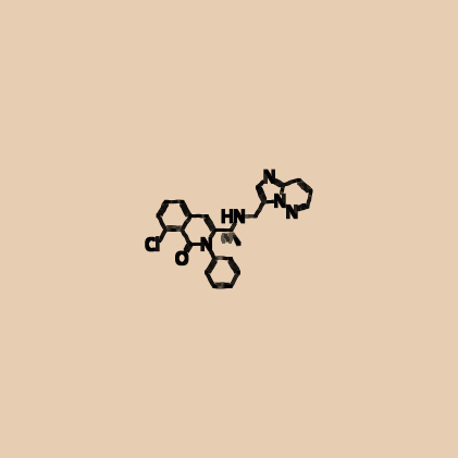 C[C@H](NCc1cnc2cccnn12)c1cc2cccc(Cl)c2c(=O)n1-c1ccccc1